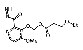 CCOCCC(=O)OCOc1c(OC)ccnc1C(=O)N=N